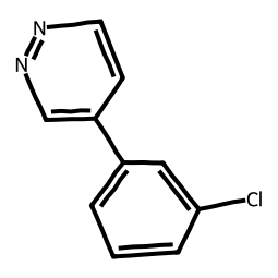 Clc1cccc(-c2ccnnc2)c1